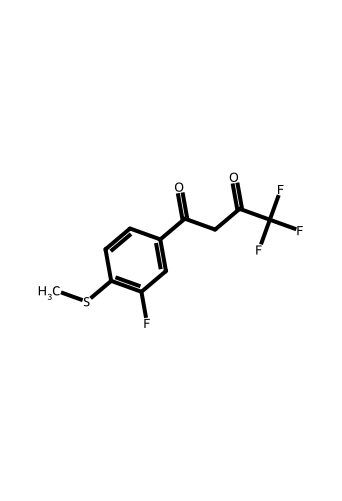 CSc1ccc(C(=O)CC(=O)C(F)(F)F)cc1F